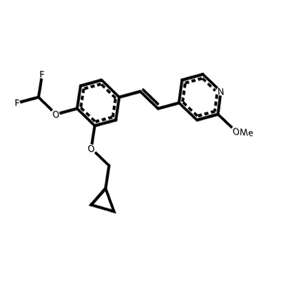 COc1cc(C=Cc2ccc(OC(F)F)c(OCC3CC3)c2)ccn1